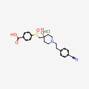 Cl.N#Cc1ccc(CCN2CCC(O)(C[S+]([O-])c3ccc(C(=O)O)cc3)CC2)cc1